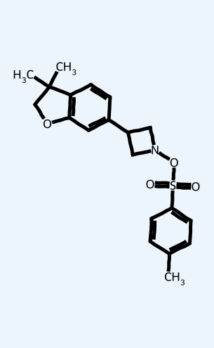 Cc1ccc(S(=O)(=O)ON2CC(c3ccc4c(c3)OCC4(C)C)C2)cc1